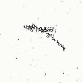 CC(C)(C)OC(=O)[C@H](CCC(=O)NCCOCCOCCOCCN=[N+]=[N-])NC(=O)c1ccc(NCc2cnc3nc(N)[nH]c(=O)c3n2)cc1